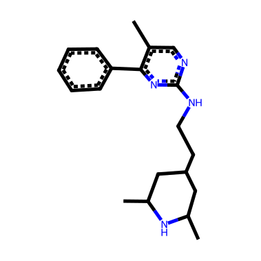 Cc1cnc(NCCC2CC(C)NC(C)C2)nc1-c1ccccc1